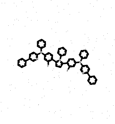 Fc1cc(N(c2ccccc2)c2ccc(-c3ccccc3)nc2)ccc1-c1ccc(-c2ccc(N(c3ccccc3)c3ccc(-c4ccccc4)cn3)cc2F)n1-c1ccccc1